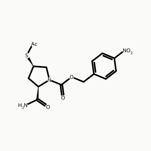 CC(=O)S[C@@H]1C[C@H](C(N)=O)N(C(=O)OCc2ccc([N+](=O)[O-])cc2)C1